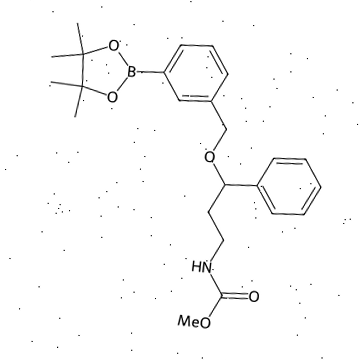 COC(=O)NCCC(OCc1cccc(B2OC(C)(C)C(C)(C)O2)c1)c1ccccc1